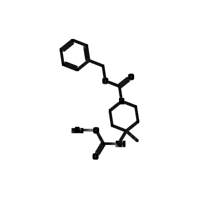 CCCCOC(=O)NC1(C)CCN(C(=O)OCc2ccccc2)CC1